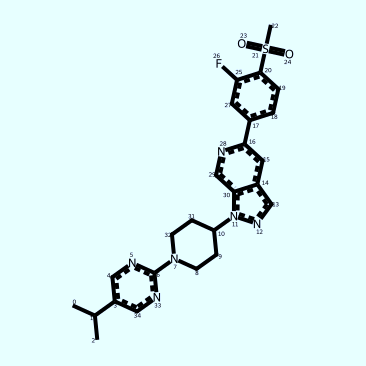 CC(C)c1cnc(N2CCC(n3ncc4cc(-c5ccc(S(C)(=O)=O)c(F)c5)ncc43)CC2)nc1